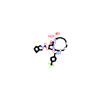 O=C1N[C@H](B(O)O)CCCCCCCCC[C@H](NCc2ccc(C(F)(F)F)cc2)C(=O)N2C[C@H](OC(=O)N3Cc4ccccc4C3)C[C@@H]12